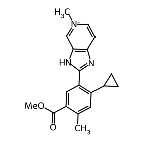 COC(=O)c1cc(-c2nc3cc[n+](C)cc3[nH]2)c(C2CC2)cc1C